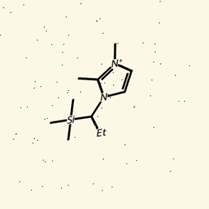 CCC(n1cc[n+](C)c1C)[Si](C)(C)C